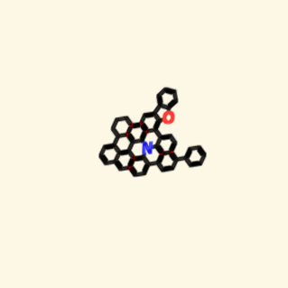 c1ccc(-c2ccc(-c3ccccc3N(c3ccccc3-c3cccc4c3oc3ccccc34)c3ccccc3-c3cccc4cccc(C5CCCCC5)c34)cc2)cc1